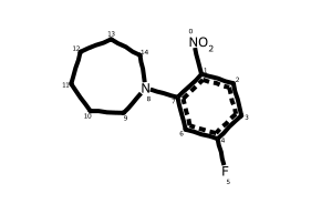 O=[N+]([O-])c1ccc(F)cc1N1CCCCCC1